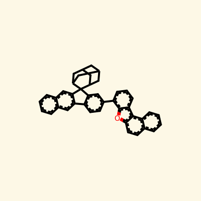 c1ccc2cc3c(cc2c1)-c1ccc(-c2cccc4c2oc2ccc5ccccc5c24)cc1C31C2CC3CC(C2)CC1C3